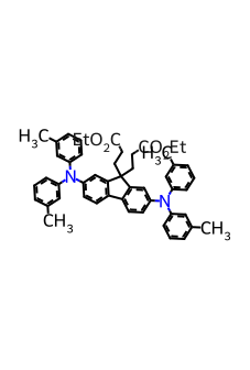 CCOC(=O)CCC1(CCC(=O)OCC)c2cc(N(c3cccc(C)c3)c3cccc(C)c3)ccc2-c2ccc(N(c3cccc(C)c3)c3cccc(C)c3)cc21